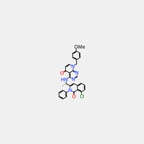 COc1ccc(Cn2ccc(=O)c3c(N[C@@H](C)c4cc5cccc(Cl)c5c(=O)n4-c4ccccc4)ncnc32)cc1